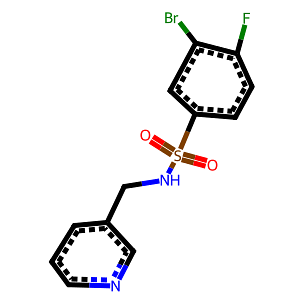 O=S(=O)(NCc1cccnc1)c1ccc(F)c(Br)c1